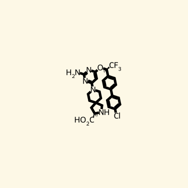 Nc1nc(O[C@H](c2ccc(-c3ccc(Cl)cc3)cc2)C(F)(F)F)cc(N2CCC3(CC2)CN[C@H](C(=O)O)C3)n1